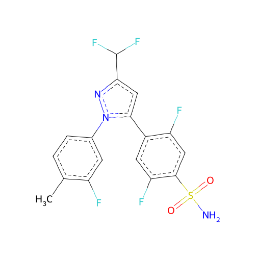 Cc1ccc(-n2nc(C(F)F)cc2-c2cc(F)c(S(N)(=O)=O)cc2F)cc1F